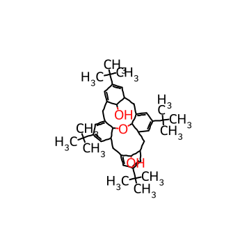 CC(C)(C)C1=CC2CC3=CC(C(C)(C)C)=CC4CC5C=C(C(C)(C)C)C=C(CC6C=C(C(C)(C)C)C=C(CC(=C1)C2O)C6OC34)C5O